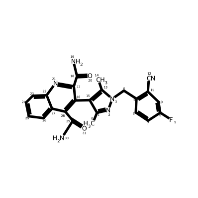 Cc1nn(Cc2ccc(F)cc2C#N)c(C)c1-c1c(C(N)=O)nc2ccccc2c1C(N)=O